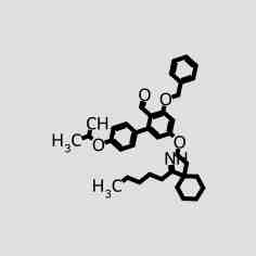 CCCCCC(=N)C1(CCOc2cc(OCc3ccccc3)c(C=O)c(-c3ccc(OC(C)C)cc3)c2)CCCCC1